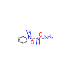 NCC(=O)NCC(=O)Nc1ccccc1